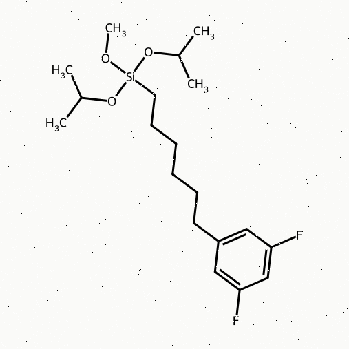 CO[Si](CCCCCCc1cc(F)cc(F)c1)(OC(C)C)OC(C)C